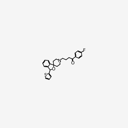 O=C(CCCN1CCC2(CC1)OC(c1cccs1)c1ccccc12)c1ccc(F)cc1